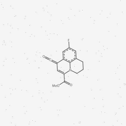 COC(=O)C1=CC(=C=O)c2cc(F)cc3c2N1CCC3